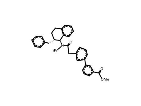 COC(=O)c1cccc(-c2cccc(CC(=O)N(C(C)C)[C@@H]3c4ccccc4CC[C@H]3Cc3ccccc3)c2)c1